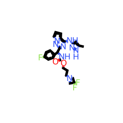 Cc1cc(Nc2nc(C(NC(=O)OCCCN3CC(F)(F)C3)c3ccc(F)cc3)nn3cccc23)n[nH]1